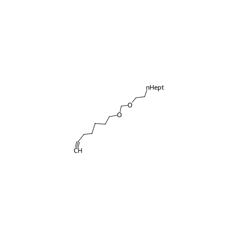 C#CCCCCCOCOCCCCCCCCC